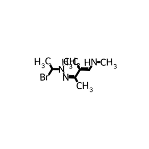 CN/C=C(C)/C(C)=N\N(C)C(C)Br